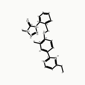 CCc1ccnc(-c2ccc(OCc3ccccc3-n3nnn(C)c3=O)c(C)c2)n1